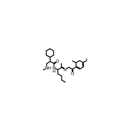 CCCCC(NC(=O)C(CNC)C1CCCCC1)/C(C)=N/CC(=O)C1=CC=C(F)CC1C